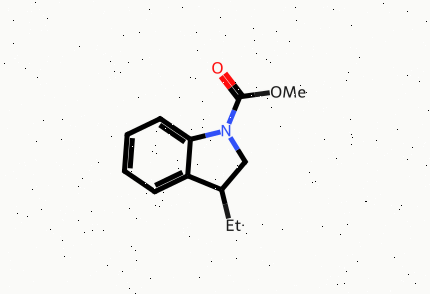 C[CH]C1CN(C(=O)OC)c2ccccc21